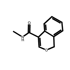 CNC(=O)C1=COCc2ccccc21